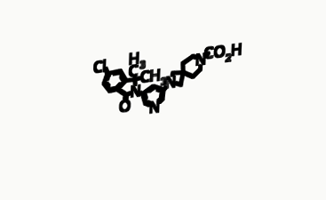 CC1(C)c2cc(Cl)ccc2C(=O)N1c1cncc(N2CC3(CCN(C(=O)O)CC3)C2)c1